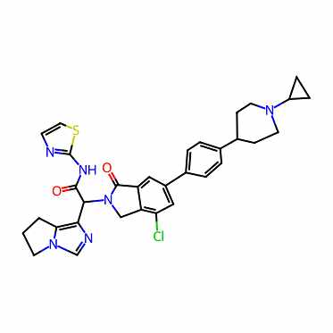 O=C(Nc1nccs1)C(c1ncn2c1CCC2)N1Cc2c(Cl)cc(-c3ccc(C4CCN(C5CC5)CC4)cc3)cc2C1=O